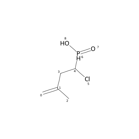 C=C(C)CC(Cl)[PH](=O)O